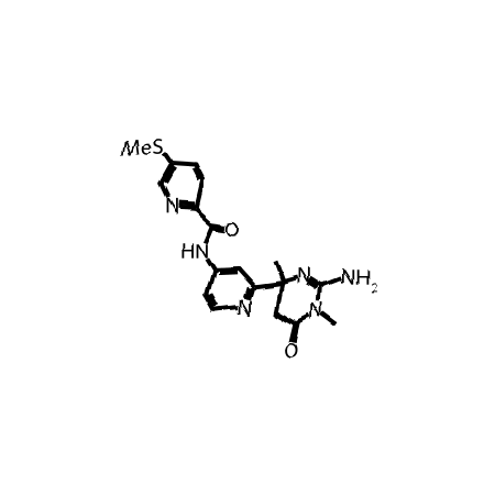 CSc1ccc(C(=O)Nc2ccnc(C3(C)CC(=O)N(C)C(N)=N3)c2)nc1